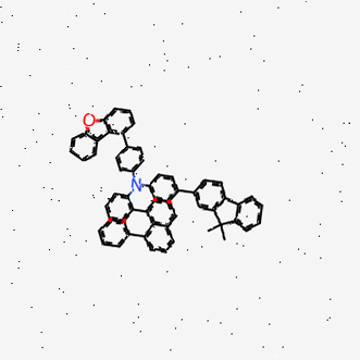 CC1(C)c2ccccc2-c2ccc(-c3ccc(N(c4ccc(-c5cccc6oc7ccccc7c56)cc4)c4ccccc4-c4cccc5cccc(-c6ccccc6)c45)cc3)cc21